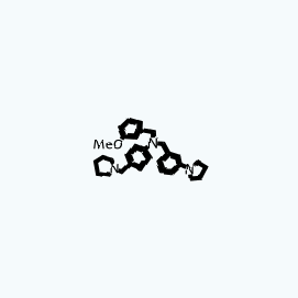 COc1cccc(CN(Cc2cccc(N3CCCC3)c2)c2ccc(CN3CCCCC3)cc2)c1